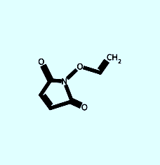 C=CON1C(=O)C=CC1=O